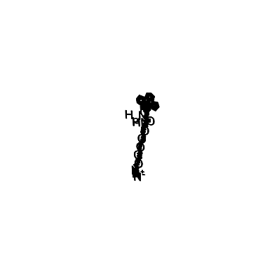 [N-]=[N+]=NCCOCCOCCOCCOCCOCCNC(=O)[C@@H](N)Cc1cn(C(c2ccccc2)(c2ccccc2)c2ccccc2)cn1